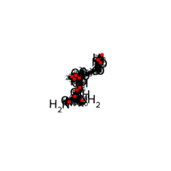 C=C1C[C@H]2C=Nc3cc(OCCCCCOc4cc5c(cc4OC)C(=O)N4CC(=C)C[C@H]4[C@H](O)N5C(=O)OCc4ccc(NC(=O)[C@H](CCCNC(N)=O)n5cc([C@@H](N)C(C)C)nn5)cc4)c(OC)cc3C(=O)N2C1